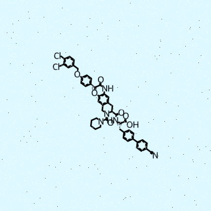 N#Cc1ccc(-c2ccc(C[C@H](NC(=O)C3Cc4cc5c(cc4CN3C(=O)N3CCCCC3)O[C@@H](c3ccc(OCc4ccc(Cl)c(Cl)c4)cc3)C(=O)N5)C(=O)O)cc2)cc1